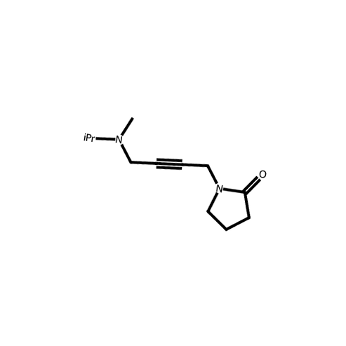 CC(C)N(C)CC#CCN1CCCC1=O